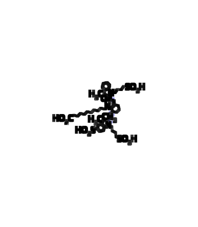 CC1(C)C(/C=C/C2=C(NCCCCCCCCCCC(=O)O)C(=C/C=C3/N(CCCCS(=O)(=O)O)c4ccc(S(=O)(=O)O)cc4C3(C)C)/CCC2)=[N+](CCCCS(=O)(=O)O)c2ccccc21